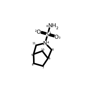 NS(=O)(=O)N1CC2CCC(C2)C1